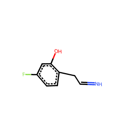 N=CCc1ccc(F)cc1O